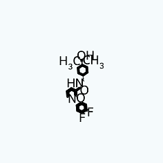 CC(C)(O)[C@H]1CC[C@H](CNC(=O)c2cccnc2Oc2ccc(F)c(F)c2)CC1